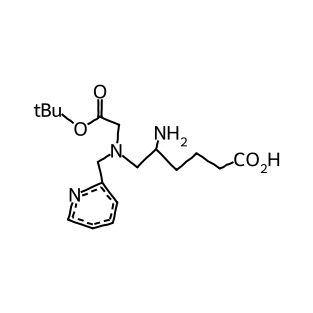 CC(C)(C)OC(=O)CN(Cc1ccccn1)CC(N)CCCC(=O)O